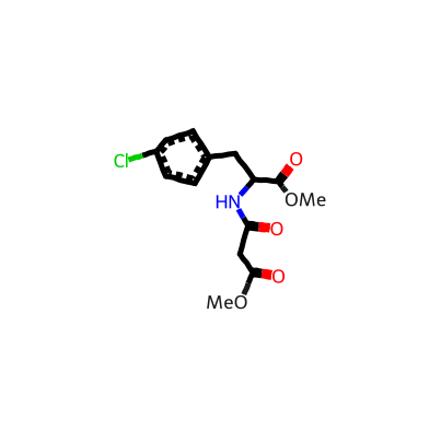 COC(=O)CC(=O)NC(Cc1ccc(Cl)cc1)C(=O)OC